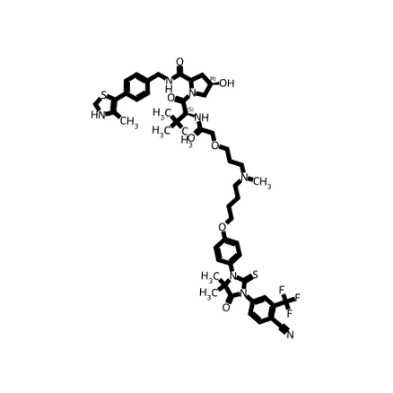 CC1=C(c2ccc(CNC(=O)C3C[C@@H](O)CN3C(=O)[C@@H](NC(=O)COCCCN(C)CCCCOc3ccc(N4C(=S)N(c5ccc(C#N)c(C(F)(F)F)c5)C(=O)C4(C)C)cc3)C(C)(C)C)cc2)SCN1